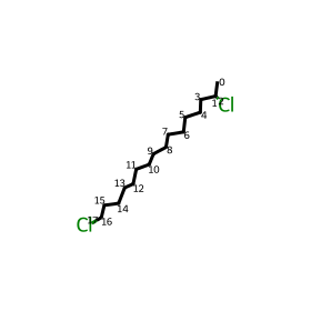 CC(Cl)CCCCCCCCCCCCCCCl